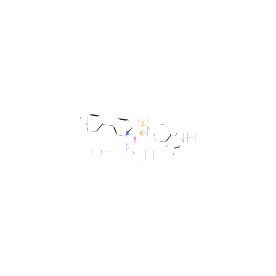 O=CNO.O=S(=O)(c1ccc(-c2ccncc2)cc1)N1CCc2[nH]cnc2C1